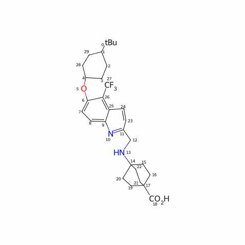 CC(C)(C)C1CCC(Oc2ccc3nc(CNC45CCC(C(=O)O)(CC4)CC5)ccc3c2C(F)(F)F)CC1